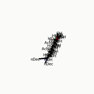 CCCCCCCCCCCCC/C=C/[C@@H](O)[C@H](CO[C@@H]1OC(CO)[C@@H](O[C@@H]2OC(CO)[C@H](O[C@@H]3OC(CO)[C@H](O)[C@H](O[C@@H]4OC(CO)[C@H](O)[C@H](O[C@@H]5OC(CO)[C@@H](O[C@@H]6OC(CO)[C@H](O)[C@H](O[C@]7(C(=O)O)CC(O)[C@@H](NC(=O)CO)C([C@H](O)[C@H](O)CO)O7)C6O)[C@H](O)C5NC(C)=O)C4O)C3NC(C)=O)[C@H](O)C2O)[C@H](O)C1O)NC(=O)CCCCCCCCCCCCCCCCC